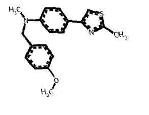 COc1ccc(CN(C)c2ccc(-c3csc(C)n3)cc2)cc1